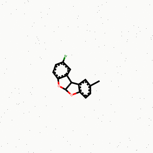 Cc1ccc2c(c1)C1c3cc(Br)ccc3OC1O2